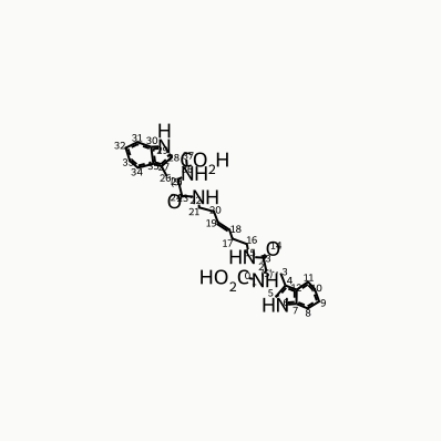 O=C(O)N[C@@H](Cc1c[nH]c2ccccc12)C(=O)NCCC=CCCNC(=O)[C@H](Cc1c[nH]c2ccccc12)NC(=O)O